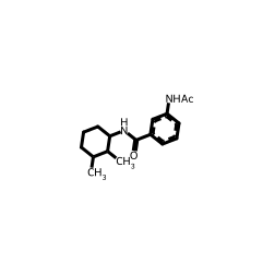 CC(=O)Nc1cccc(C(=O)NC2CCCC(C)C2C)c1